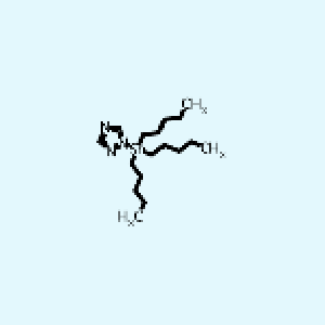 CCCC[CH2][Sn]([CH2]CCCC)([CH2]CCCC)[n]1cncn1